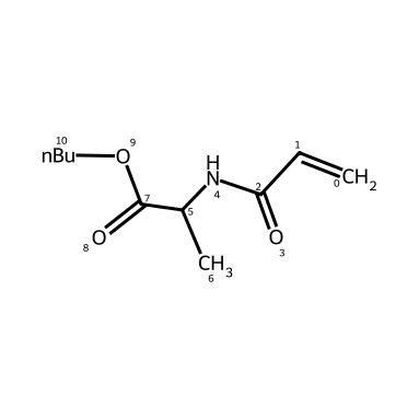 C=CC(=O)NC(C)C(=O)OCCCC